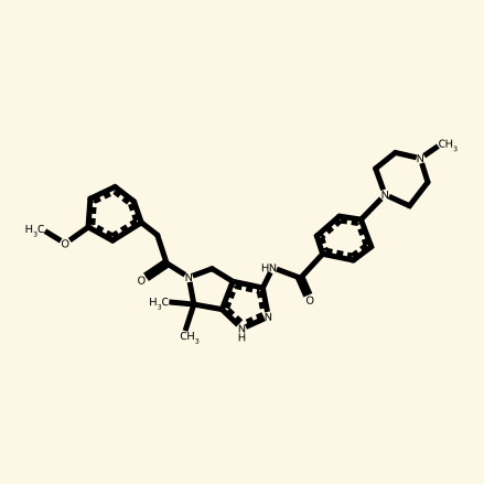 COc1cccc(CC(=O)N2Cc3c(NC(=O)c4ccc(N5CCN(C)CC5)cc4)n[nH]c3C2(C)C)c1